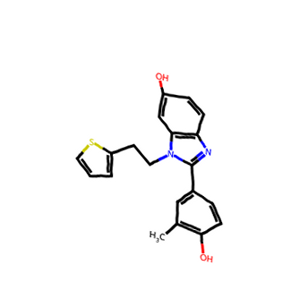 Cc1cc(-c2nc3ccc(O)cc3n2CCc2cccs2)ccc1O